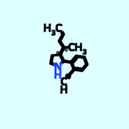 C#CC1=CCCC=C1C1NCC[C@H]1[C@H](C)CCC